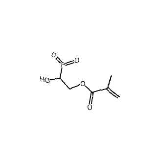 C=C(C)C(=O)OCC(O)P(=O)=O